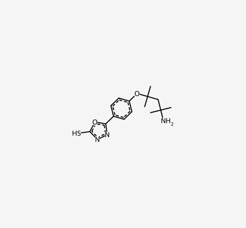 CC(C)(N)CC(C)(C)Oc1ccc(-c2nnc(S)o2)cc1